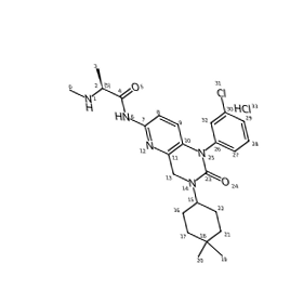 CN[C@@H](C)C(=O)Nc1ccc2c(n1)CN(C1CCC(C)(C)CC1)C(=O)N2c1cccc(Cl)c1.Cl